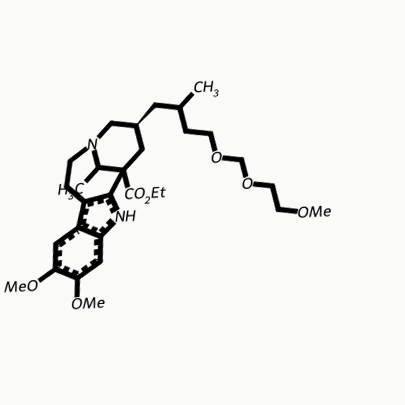 CCOC(=O)C12C[C@H](CC(C)CCOCOCCOC)CN(CCc3c1[nH]c1cc(OC)c(OC)cc31)C2C